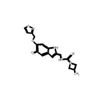 CC1CN(C(=O)NCc2cc3cc(Cl)c(OCc4ccon4)cc3[nH]2)C1